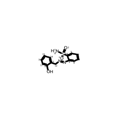 NS(=O)(=O)c1ccccc1N=NCc1ccccc1O